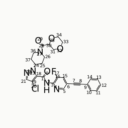 O=C(Nc1ncc(C#Cc2ccccc2)cc1F)c1c(Cl)cnn1C1CCN(C(=O)C2COCCO2)CC1